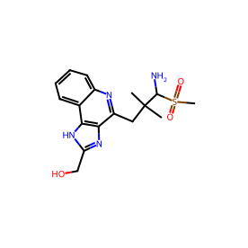 CC(C)(Cc1nc2ccccc2c2[nH]c(CO)nc12)C(N)S(C)(=O)=O